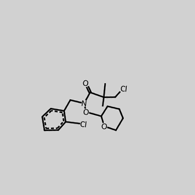 CC(C)(CCl)C(=O)N(Cc1ccccc1Cl)OC1CCCCO1